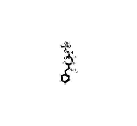 C[C@H](NC(=O)[C@@H](N)Cc1ccccc1)C(=O)NOP(C)(=O)O